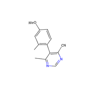 COc1ccc(-c2c(C)ncnc2C#N)c(C)c1